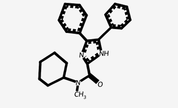 CN(C(=O)c1nc(-c2ccccc2)c(-c2ccccc2)[nH]1)C1CCCCC1